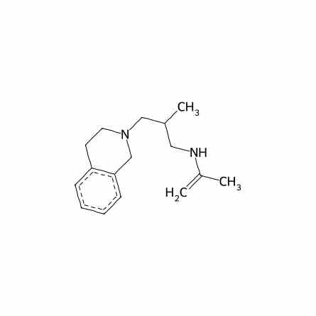 C=C(C)NCC(C)CN1CCc2ccccc2C1